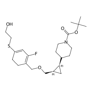 CC(C)(C)OC(=O)N1CCC([C@H]2C[C@H]2COCC2=C(F)C=C(SCCO)CC2)CC1